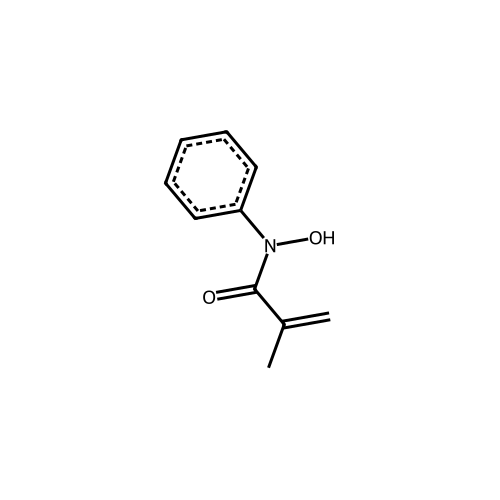 C=C(C)C(=O)N(O)c1ccccc1